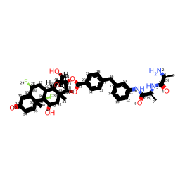 C[C@H](N)C(=O)N[C@@H](C)C(=O)Nc1cccc(Cc2ccc(C3O[C@@H]4C[C@H]5C6C[C@H](F)C7=CC(=O)C=CC7(C)[C@@]6(F)C(O)CC5(C)[C@]4(C(=O)CO)O3)cc2)c1